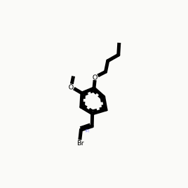 CCCCOc1ccc(/C=C/Br)cc1OC